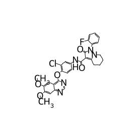 COc1cc2ncnc(Oc3ccc(NC(=O)c4c5n(n(-c6ccccc6F)c4=O)CCCC5)cc3Cl)c2cc1OC